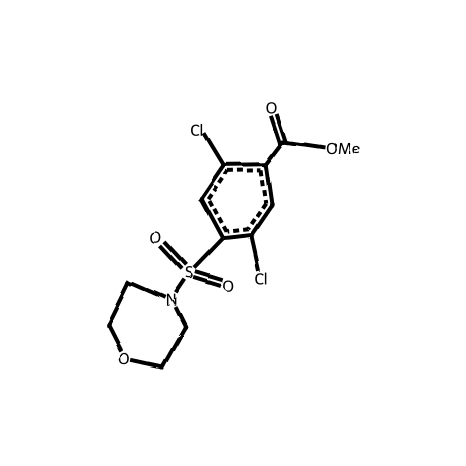 COC(=O)c1cc(Cl)c(S(=O)(=O)N2CCOCC2)cc1Cl